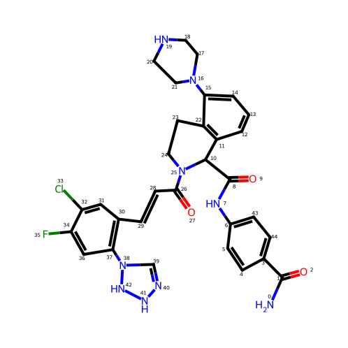 NC(=O)c1ccc(NC(=O)C2c3cccc(N4CCNCC4)c3CCN2C(=O)/C=C/c2cc(Cl)c(F)cc2N2C=NNN2)cc1